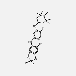 CN1C(C)(C)CC(Nc2nc(Nc3cc4c(cc3Br)OC(F)(F)O4)ncc2F)CC1(C)C